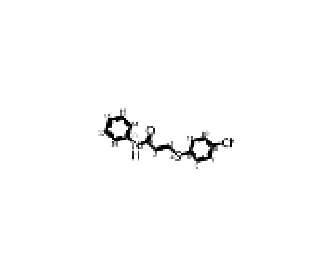 O=C(C=CSc1ccc(Cl)cc1)Nc1ccccc1